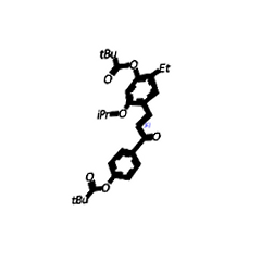 CCc1cc(/C=C/C(=O)c2ccc(OC(=O)C(C)(C)C)cc2)c(OC(C)C)cc1OC(=O)C(C)(C)C